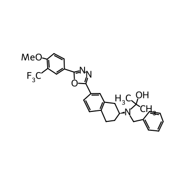 COc1ccc(-c2nnc(-c3ccc4c(c3)C[C@@H](N(Cc3ccccc3)C(C)(C)O)CC4)o2)cc1C(F)(F)F